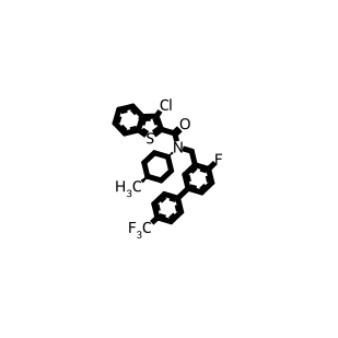 C[C@H]1CC[C@H](N(Cc2cc(-c3ccc(C(F)(F)F)cc3)ccc2F)C(=O)c2sc3ccccc3c2Cl)CC1